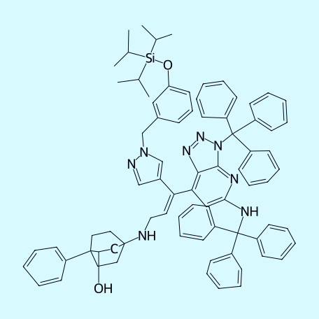 CC(C)[Si](Oc1cccc(Cn2cc(C(=CCNC34CCC(c5ccccc5)(CC3)C(O)C4)c3cc(NC(c4ccccc4)(c4ccccc4)c4ccccc4)nc4c3nnn4C(c3ccccc3)(c3ccccc3)c3ccccc3)cn2)c1)(C(C)C)C(C)C